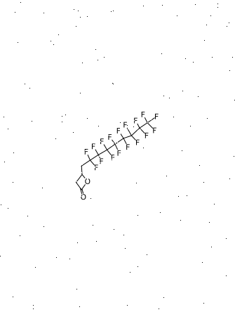 O=C1CC(CC(F)(F)C(F)(F)C(F)(F)C(F)(F)C(F)(F)C(F)(F)C(F)(F)C(F)(F)F)O1